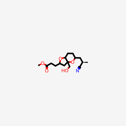 COC(=O)CCC1CC2(CO)OC(C[C@@H](C)C#N)CCC2O1